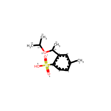 Cc1ccc(S(=O)(=O)O)c(C(C)OC(C)C)c1